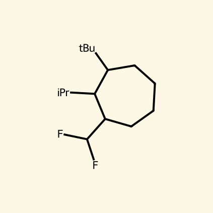 CC(C)C1C(C(F)F)CCCCC1C(C)(C)C